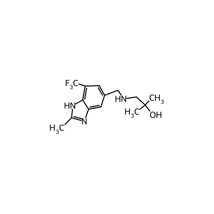 Cc1nc2cc(CNCC(C)(C)O)cc(C(F)(F)F)c2[nH]1